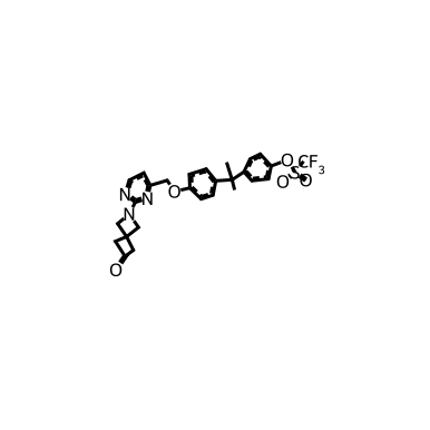 CC(C)(c1ccc(OCc2ccnc(N3CC4(CC(=O)C4)C3)n2)cc1)c1ccc(OS(=O)(=O)C(F)(F)F)cc1